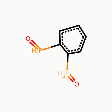 O=[PH2]c1ccccc1[PH2]=O